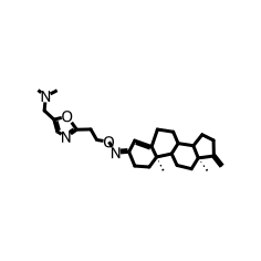 C=C1CCC2C3CCC4=CC(=NOCCc5ncc(CN(C)C)o5)CC[C@]4(C)C3CC[C@]12C